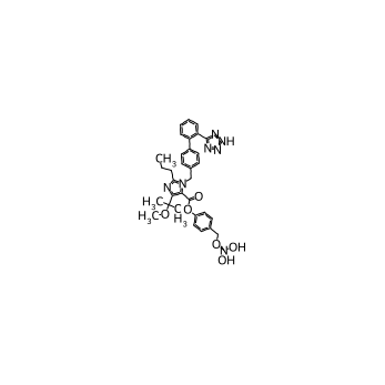 CCCc1nc(C(C)(C)OC)c(C(=O)Oc2ccc(CON(O)O)cc2)n1Cc1ccc(-c2ccccc2-c2nn[nH]n2)cc1